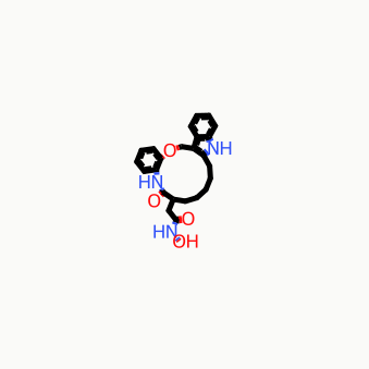 O=C(CC1CCCCCc2[nH]c3ccccc3c2COc2ccccc2NC1=O)NO